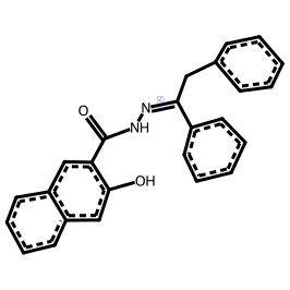 O=C(N/N=C(/Cc1ccccc1)c1ccccc1)c1cc2ccccc2cc1O